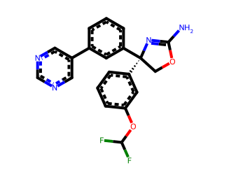 NC1=N[C@](c2cccc(OC(F)F)c2)(c2cccc(-c3cncnc3)c2)CO1